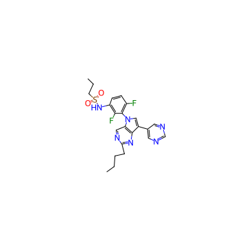 CCCCc1ncc2c(n1)c(-c1cncnc1)cn2-c1c(F)ccc(NS(=O)(=O)CCC)c1F